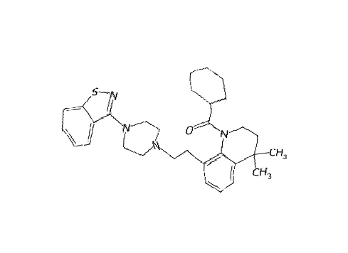 CC1(C)CCN(C(=O)C2CCCCC2)c2c(CCN3CCN(c4nsc5ccccc45)CC3)cccc21